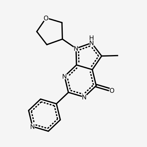 Cc1[nH]n(C2CCOC2)c2nc(-c3ccncc3)nc(=O)c1-2